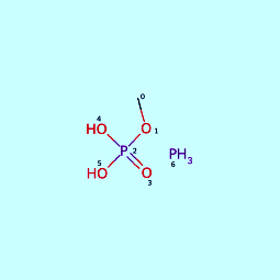 COP(=O)(O)O.P